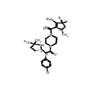 CNC1=C(C(=N)N2CCN(C(=O)[C@@H](c3ccc(Cl)cc3)[C@@H]3CCC(C)(C)N3)CC2)[C@H](C)CC1(F)F